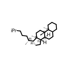 CC(C)CCC[C@@H](C)[C@H]1CC[C@H]2[C@@H]3CCC4CCCC[C@]4(C)[C@@]3(C)CC[C@]12C